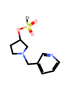 CCS(=O)(=O)OC1CCN(Cc2cccnc2)C1